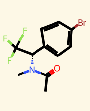 CC(=O)N(C)[C@@H](c1ccc(Br)cc1)C(F)(F)F